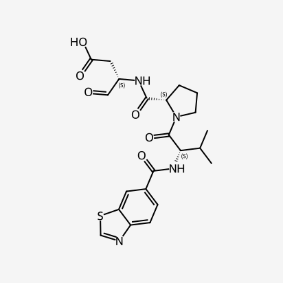 CC(C)[C@H](NC(=O)c1ccc2ncsc2c1)C(=O)N1CCC[C@H]1C(=O)N[C@H](C=O)CC(=O)O